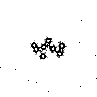 c1ccc(-n2c3cc4c(cc3c3c5ccccc5ccc32)c2ccccc2n4-c2ccc(-c3cccc4oc5ccccc5c34)cc2)cc1